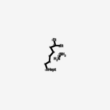 CCCCCCCCCCCCC(CC)CC.NN